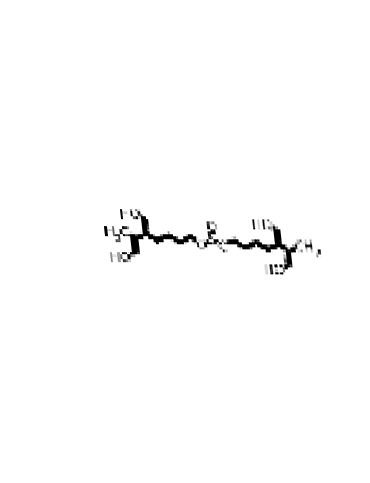 CC(=CO)C(=CO)CCCCOS(=O)OCCCCC(=CO)C(C)=CO